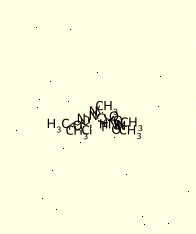 Cc1nn(-c2cnc(OCC(C)C)c(Cl)c2)c2cc(F)c(C(=O)NS(=O)(=O)N(C)C)cc12